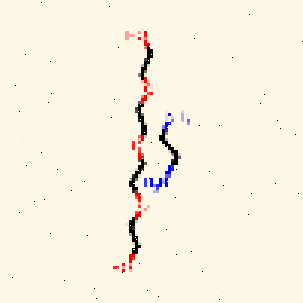 NCCN.OCCOCCOCCOCCO